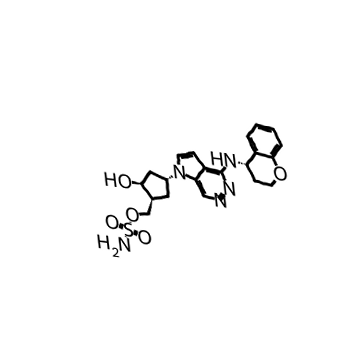 NS(=O)(=O)OC[C@@H]1C[C@@H](n2ccc3c(N[C@H]4CCOc5ccccc54)nncc32)C[C@@H]1O